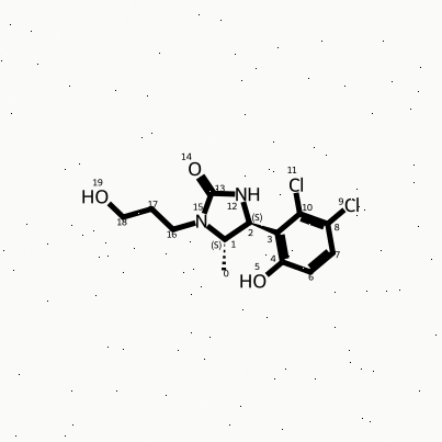 C[C@H]1[C@H](c2c(O)ccc(Cl)c2Cl)NC(=O)N1CCCO